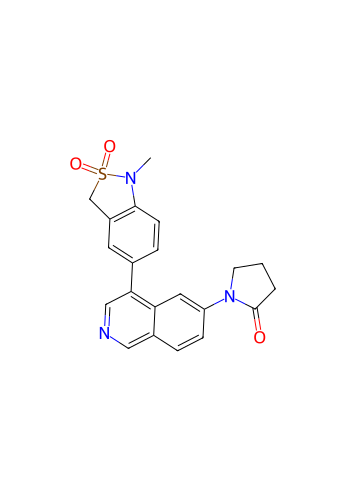 CN1c2ccc(-c3cncc4ccc(N5CCCC5=O)cc34)cc2CS1(=O)=O